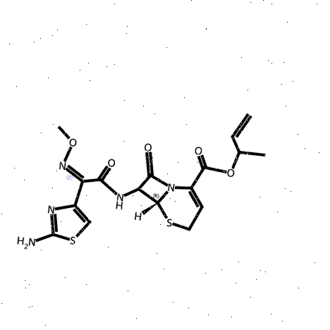 C=CC(C)OC(=O)C1=CCS[C@@H]2C(NC(=O)/C(=N\OC)c3csc(N)n3)C(=O)N12